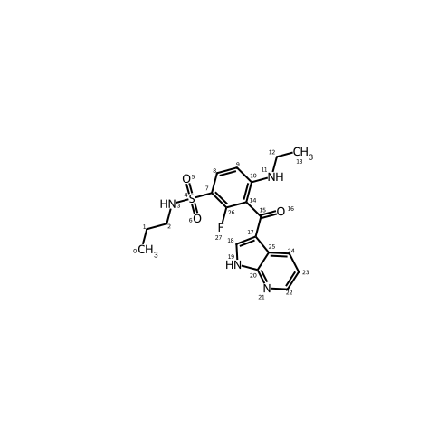 CCCNS(=O)(=O)c1ccc(NCC)c(C(=O)c2c[nH]c3ncccc23)c1F